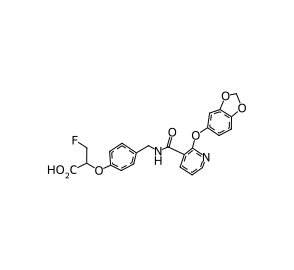 O=C(NCc1ccc(OC(CF)C(=O)O)cc1)c1cccnc1Oc1ccc2c(c1)OCO2